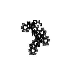 Cn1c2cc3c(nc2n2c4ccccc4nc12)[SH](Cn1c2cc4sc5ccccc5c4nc2n2c4ccccc4nc12)c1ccccc1-3